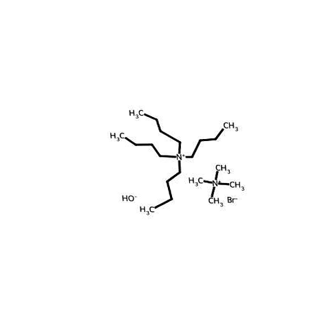 CCCC[N+](CCCC)(CCCC)CCCC.C[N+](C)(C)C.[Br-].[OH-]